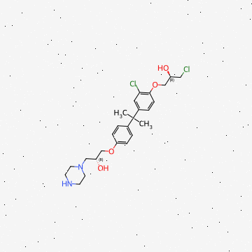 CC(C)(c1ccc(OC[C@H](O)CN2CCNCC2)cc1)c1ccc(OC[C@@H](O)CCl)c(Cl)c1